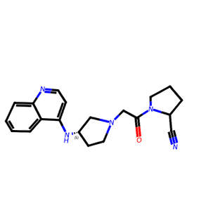 N#CC1CCCN1C(=O)CN1CC[C@H](Nc2ccnc3ccccc23)C1